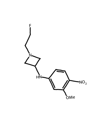 COc1cc(NC2CN(CCF)C2)ccc1[N+](=O)[O-]